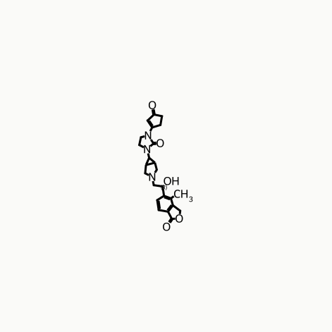 Cc1c([C@@H](O)CN2CC3C(C2)C3N2CCN(C3=CC(=O)CC3)C2=O)ccc2c1COC2=O